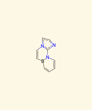 C1=CB2C=Cn3ccnc3N2C=C1